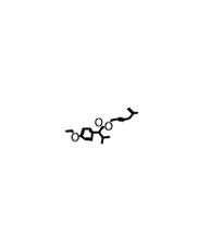 C=C(C)CC#CCOC(=O)C(c1ccc(OCC)cc1)C(C)C